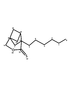 CCCCCCC12CC3(COC1=S)CC2C3